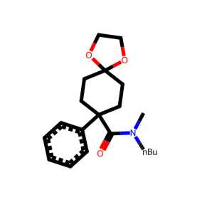 CCCCN(C)C(=O)C1(c2ccccc2)CCC2(CC1)OCCO2